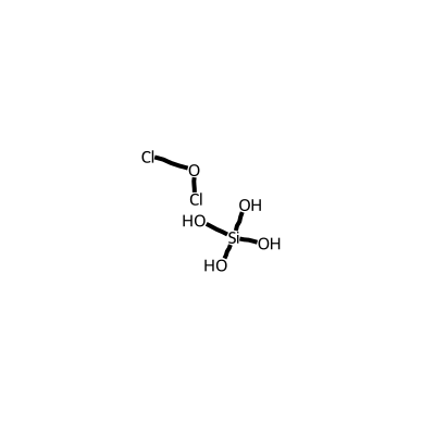 ClOCl.O[Si](O)(O)O